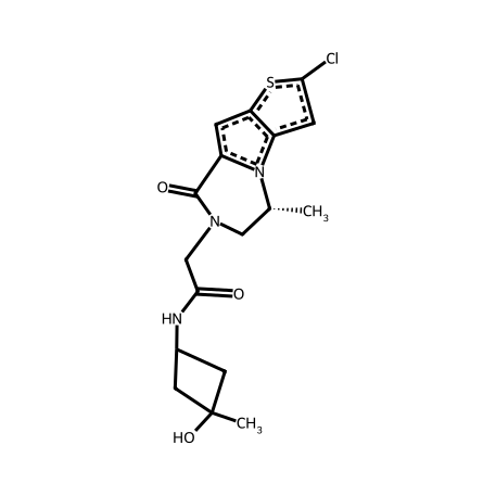 C[C@@H]1CN(CC(=O)NC2CC(C)(O)C2)C(=O)c2cc3sc(Cl)cc3n21